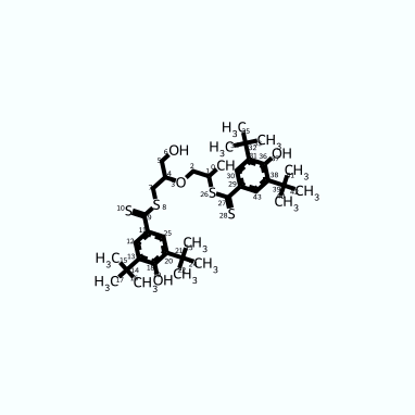 CC(COC(CO)CSC(=S)c1cc(C(C)(C)C)c(O)c(C(C)(C)C)c1)SC(=S)c1cc(C(C)(C)C)c(O)c(C(C)(C)C)c1